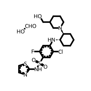 O=CO.O=S(=O)(Nc1nccs1)c1cc(Cl)c(N[C@H]2CCCC[C@@H]2N2CCCC(CO)C2)cc1F